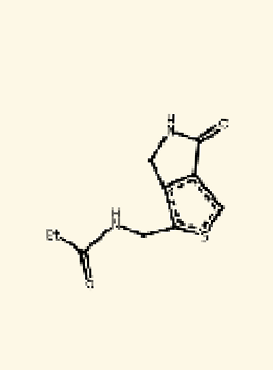 CCC(=O)NCc1scc2c1CNC2=O